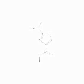 COC(=O)c1coc(C(C)F)n1